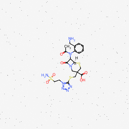 CC(=O)N(c1ccccc1CN)C1C(=O)N2CC(CSc3nnnn3CCS(N)(=O)=O)(C(=O)O)CS[C@H]12